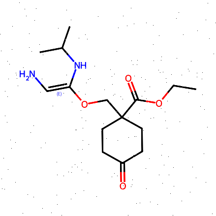 CCOC(=O)C1(CO/C(=C/N)NC(C)C)CCC(=O)CC1